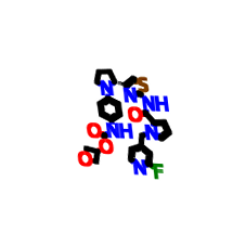 O=C(Nc1ccc(N2CCC[C@@H]2c2csc(NC(=O)c3cccn3Cc3ccnc(F)c3)n2)cc1)OC1COC1